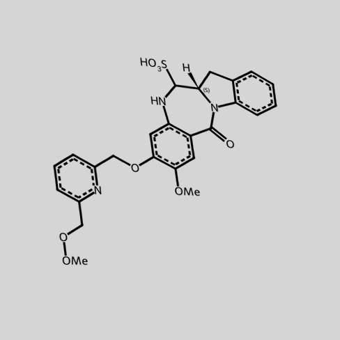 COOCc1cccc(COc2cc3c(cc2OC)C(=O)N2c4ccccc4C[C@H]2C(S(=O)(=O)O)N3)n1